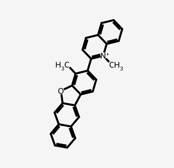 Cc1c(-c2ccc3ccccc3[n+]2C)ccc2c1oc1cc3ccccc3cc12